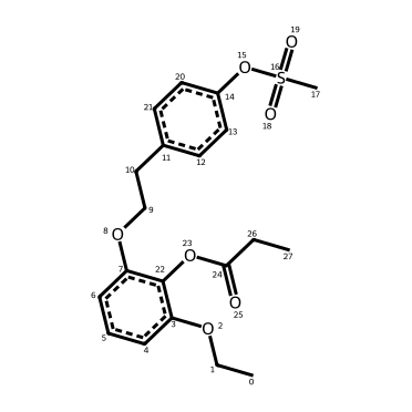 CCOc1cccc(OCCc2ccc(OS(C)(=O)=O)cc2)c1OC(=O)CC